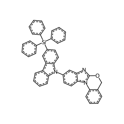 c1ccc([Si](c2ccccc2)(c2ccccc2)c2ccc3c(c2)c2ccccc2n3-c2ccc3c(c2)nc2n3-c3ccccc3CO2)cc1